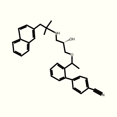 CC(OC[C@@H](O)CNC(C)(C)Cc1ccc2ccccc2c1)c1ccccc1-c1ccc(C#N)cc1